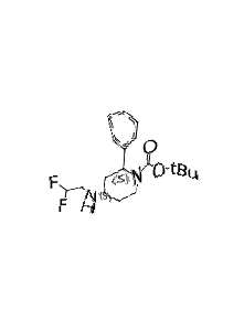 CC(C)(C)OC(=O)N1CC[C@H](NCC(F)F)C[C@H]1c1ccccc1